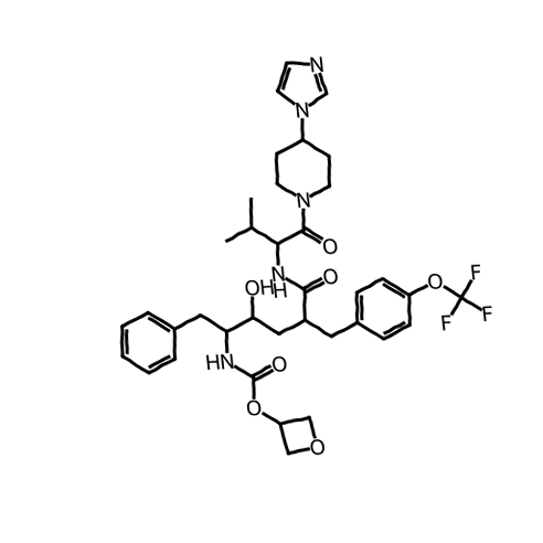 CC(C)C(NC(=O)C(Cc1ccc(OC(F)(F)F)cc1)CC(O)C(Cc1ccccc1)NC(=O)OC1COC1)C(=O)N1CCC(n2ccnc2)CC1